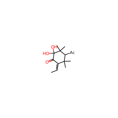 CC=C1C(=O)C(O)(O)C(C)(C)C(C(C)=O)C1(C)C